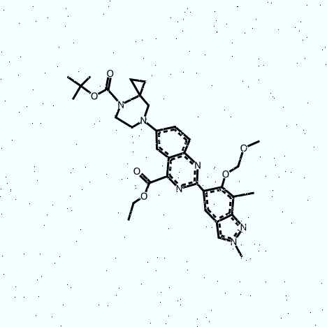 CCOC(=O)c1nc(-c2cc3cn(C)nc3c(C)c2OCOC)nc2ccc(N3CCN(C(=O)OC(C)(C)C)C4(CC4)C3)cc12